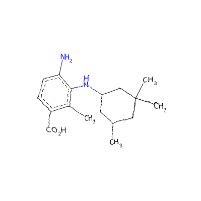 Cc1c(C(=O)O)ccc(N)c1NC1CC(C)CC(C)(C)C1